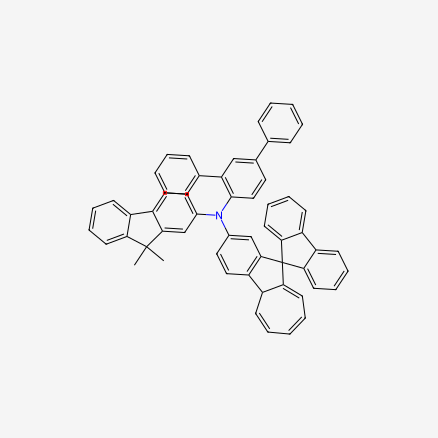 CC1(C)c2ccccc2-c2ccc(N(c3ccc4c(c3)C3(C5=CC=CC=CC54)c4ccccc4-c4ccccc43)c3ccc(-c4ccccc4)cc3-c3ccccc3)cc21